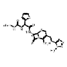 CCCCCNC(=O)NC(C(=O)N[C@H]1C(=O)N2C(C(=O)O)=C(CSc3nnnn3C)CSC12)c1cccs1